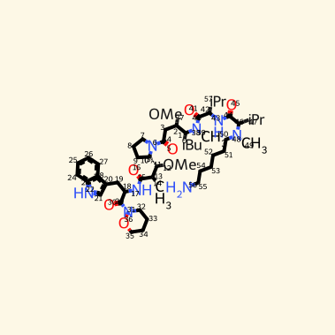 CCC(C)C(C(CC(=O)N1CCC[C@H]1C(OC)C(C)C(=O)NC(Cc1c[nH]c2ccccc12)C(=O)N1CCCCO1)OC)N(C)C(=O)C(NC(=O)C(C(C)C)N(C)CCCCCCN)C(C)C